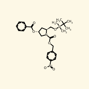 CC(C)(C)[Si](C)(C)OC[C@@H]1C[C@@H](OC(=O)c2ccccc2)CN1C(=O)OCc1ccc([N+](=O)[O-])cc1